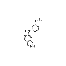 CCOc1cccc(Nc2ncc3c(n2)CNC3)c1